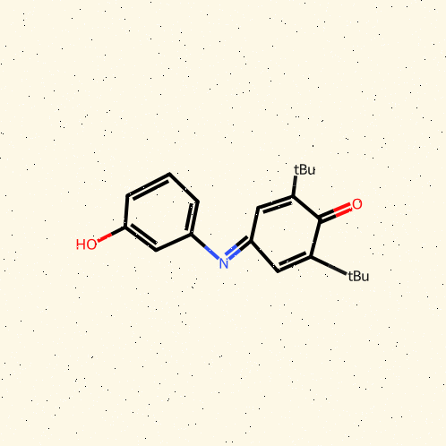 CC(C)(C)C1=CC(=Nc2cccc(O)c2)C=C(C(C)(C)C)C1=O